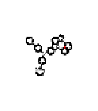 c1ccc(-c2ccc(N(c3ccc(-c4ncccn4)cc3)c3ccc4c(c3)c3ccc5ccn(-c6ccccc6)c5c3n4-c3ccccc3)cc2)cc1